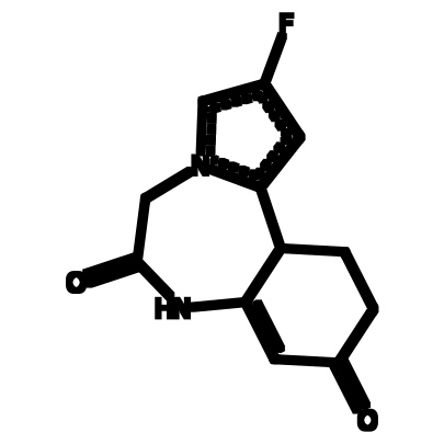 O=C1C=C2NC(=O)Cn3cc(F)cc3C2CC1